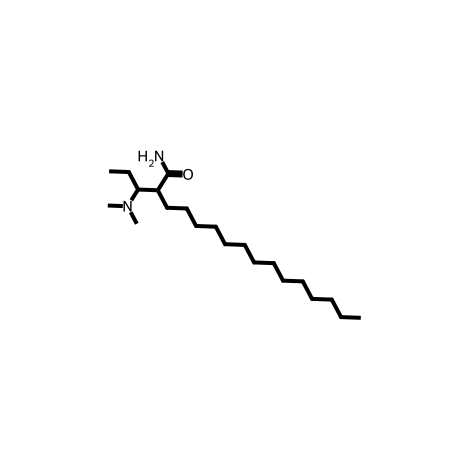 CCCCCCCCCCCCCCC(C(N)=O)C(CC)N(C)C